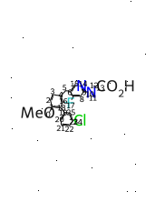 COc1ccc(Cc2ccc(N(C)CC(=O)O)nc2)c(F)c1-c1cccc(Cl)c1